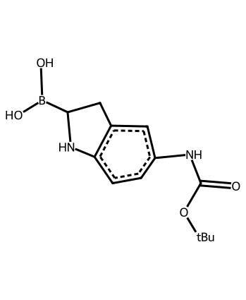 CC(C)(C)OC(=O)Nc1ccc2c(c1)CC(B(O)O)N2